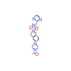 CC(=O)N1CCN(c2ccc3c(c2)CCN(S(=O)(=O)N(C)Cc2ncccn2)C3)CC1